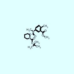 COC(=O)c1cc(N(C)C(=O)[C@H]2CCCCN2C(=O)OC(C)(C)C)ccc1C